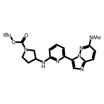 CNc1ccc2ncc(-c3cccc(NC4CCN(C(=O)OC(C)(C)C)C4)n3)n2n1